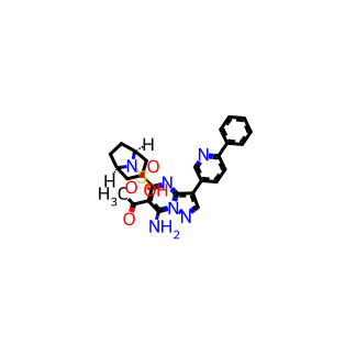 CC(=O)c1c([C@H]2C[C@H]3CC[C@@H](C2)N3S(=O)(=O)O)nc2c(-c3ccc(-c4ccccc4)nc3)cnn2c1N